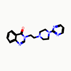 O=c1c2ccccc2ncn1CCN1CCN(c2ncccn2)CC1